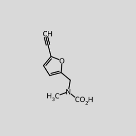 C#Cc1ccc(CN(C)C(=O)O)o1